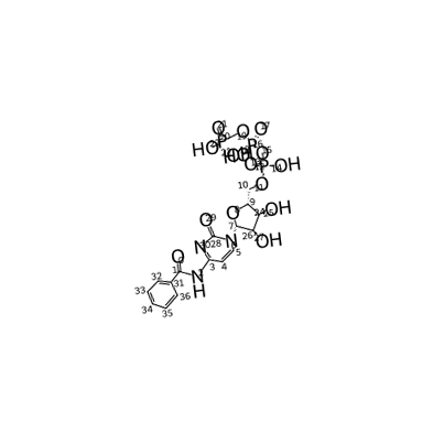 O=C(Nc1ccn([C@@H]2O[C@H](COP(=O)(O)OP(=O)(O)OP(=O)(O)O)[C@@H](O)[C@H]2O)c(=O)n1)c1ccccc1